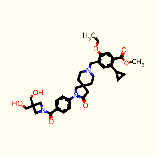 CCOc1cc(C(=O)OC)c(C2CC2)cc1CN1CCC2(CC1)CC(=O)N(c1ccc(C(=O)N3CC(CO)(CO)C3)cc1)C2